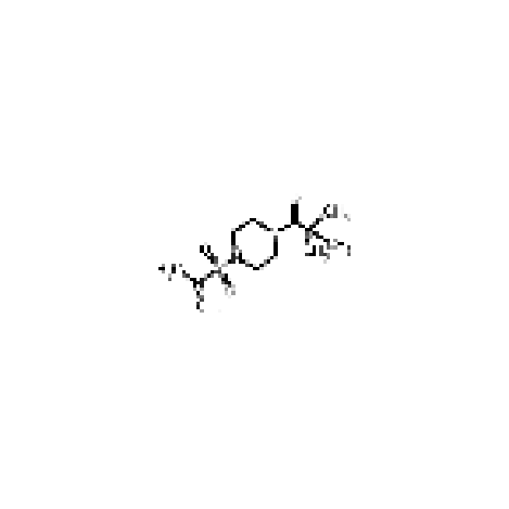 CN(C)S(=O)(=O)N1CCN(C(=O)C(C)(C)C)CC1